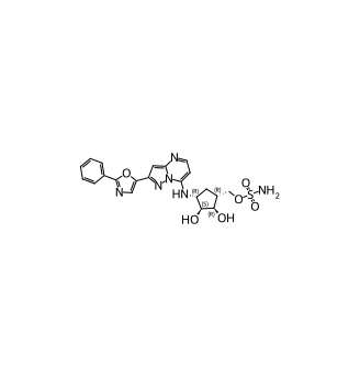 NS(=O)(=O)OC[C@H]1C[C@@H](Nc2ccnc3cc(-c4cnc(-c5ccccc5)o4)nn23)[C@H](O)[C@@H]1O